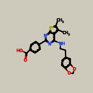 Cc1sc2nc(-c3ccc(C(=O)O)cc3)nc(NCCc3ccc4c(c3)OCO4)c2c1C